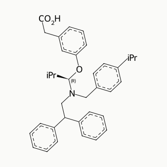 CC(C)c1ccc(CN(CC(c2ccccc2)c2ccccc2)[C@H](Oc2cccc(CC(=O)O)c2)C(C)C)cc1